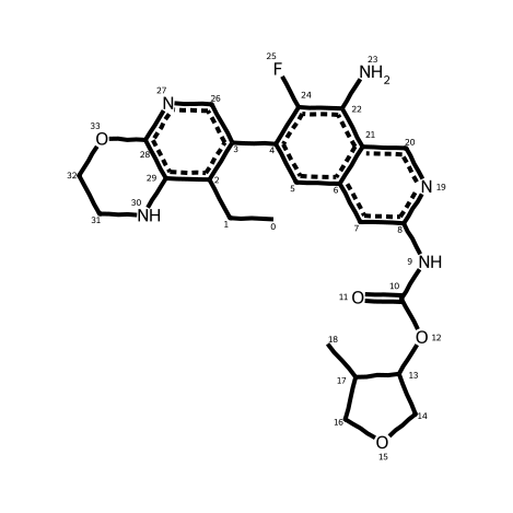 CCc1c(-c2cc3cc(NC(=O)OC4COCC4C)ncc3c(N)c2F)cnc2c1NCCO2